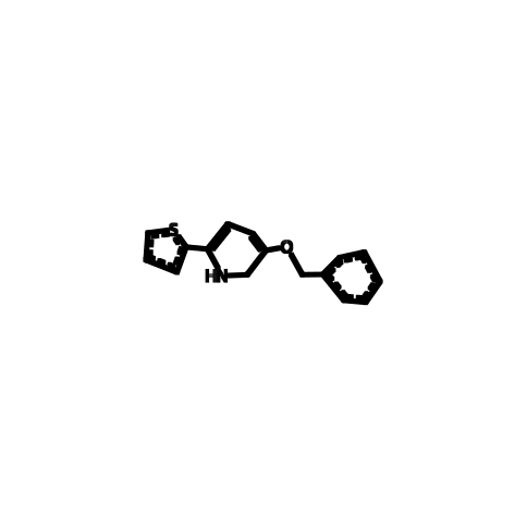 C1=C(OCc2ccccc2)CNC(c2cccs2)=C1